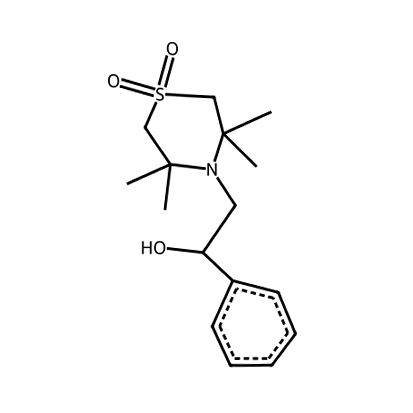 CC1(C)CS(=O)(=O)CC(C)(C)N1CC(O)c1ccccc1